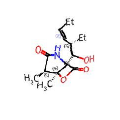 CC/C=C\[C@H](CC)C(O)[C@@]12NC(=O)[C@H](C)[C@]1(C)OC2=O